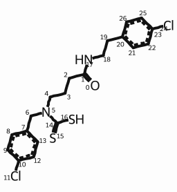 O=C(CCCN(Cc1ccc(Cl)cc1)C(=S)S)NCCc1ccc(Cl)cc1